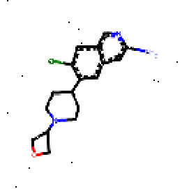 Nc1cc2cc(C3CCN(C4COC4)CC3)c(Cl)cc2cn1